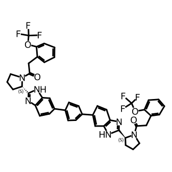 O=C(Cc1ccccc1OC(F)(F)F)N1CCC[C@H]1c1nc2ccc(-c3ccc(-c4ccc5nc([C@@H]6CCCN6C(=O)Cc6ccccc6OC(F)(F)F)[nH]c5c4)cc3)cc2[nH]1